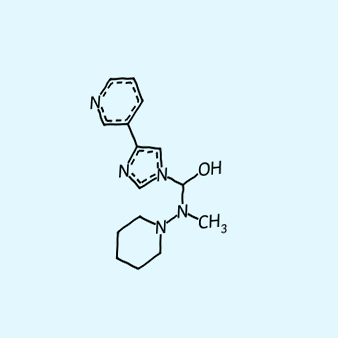 CN(C(O)n1cnc(-c2cccnc2)c1)N1CCCCC1